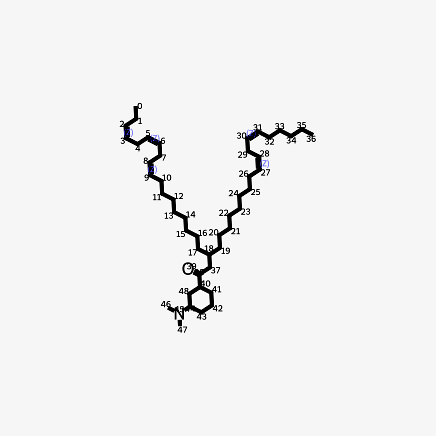 CC/C=C\C/C=C\C/C=C\CCCCCCCCC(CCCCCCCC/C=C\C/C=C\CCCCC)CC(=O)C1CCCC(N(C)C)C1